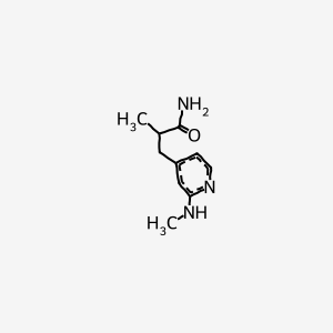 CNc1cc(CC(C)C(N)=O)ccn1